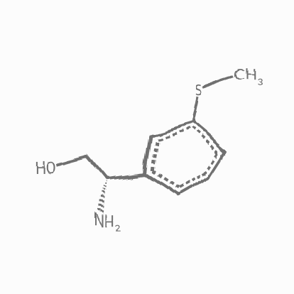 CSc1cccc([C@H](N)CO)c1